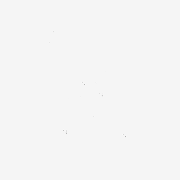 O=C1CN(Cc2ccncc2OCCN2CCCC2)C(=O)N1c1ccc(SC(F)(F)F)cc1